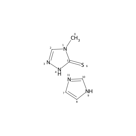 Cn1cn[nH]c1=S.c1c[nH]cn1